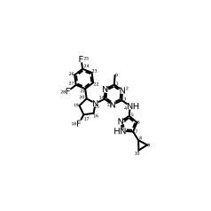 Cc1nc(Nc2cc(C3CC3)[nH]n2)nc(N2CC(F)CC2c2ccc(F)cc2F)n1